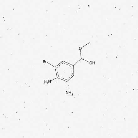 COC(O)c1cc(N)c(N)c(Br)c1